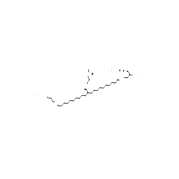 C=C=C=CC(CCCC)CCOC(=O)CCCCCCCCCC(CCCCCCCCCC(=O)OCCC(C)CCCC)C(=O)OCCCN(C)C(C)C